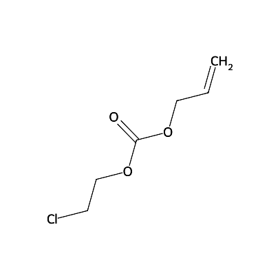 C=CCOC(=O)OCCCl